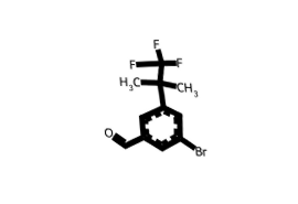 CC(C)(c1cc(Br)cc(C=O)c1)C(F)(F)F